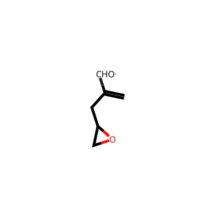 C=C([C]=O)CC1CO1